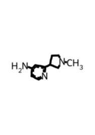 CN1CCC(c2cc(N)ccn2)C1